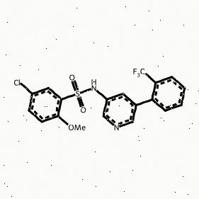 COc1ccc(Cl)cc1S(=O)(=O)Nc1cncc(-c2ccccc2C(F)(F)F)c1